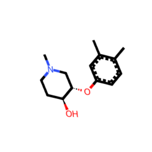 Cc1ccc(O[C@H]2CN(C)CC[C@@H]2O)cc1C